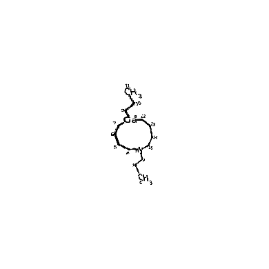 CCCN1CCC[CH2][Ga]([CH2]CC)[CH2]CCC1